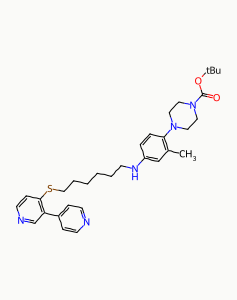 Cc1cc(NCCCCCCSc2ccncc2-c2ccncc2)ccc1N1CCN(C(=O)OC(C)(C)C)CC1